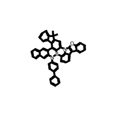 CC1(C)c2ccccc2-c2c1cc1c3c2-c2cc4ccccc4cc2N(c2ccc(-c4ccccc4)cc2)B3c2cccc3c4c5ccccc5oc4n-1c23